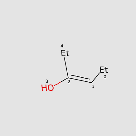 CC/C=C(/O)CC